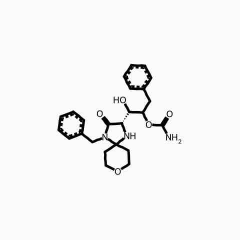 NC(=O)OC(Cc1ccccc1)C(O)[C@@H]1NC2(CCOCC2)N(Cc2ccccc2)C1=O